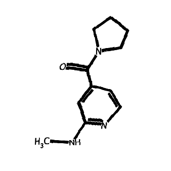 CNc1cc(C(=O)N2CCCC2)ccn1